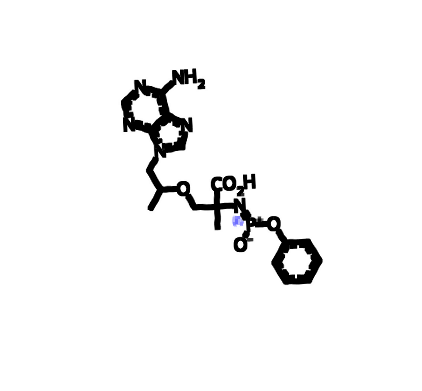 CC(Cn1cnc2c(N)ncnc21)OCC(C)(/N=[P+](\[O-])Oc1ccccc1)C(=O)O